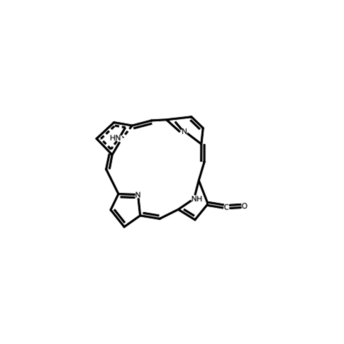 O=C=C1C=C2C=C3C=CC(=N3)C=c3ccc([nH]3)=CC3=NC(=CC1N2)C=C3